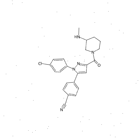 CNC1CCCN(C(=O)c2cc(-c3ccc(C#N)cc3)n(-c3ccc(Cl)cc3)n2)C1